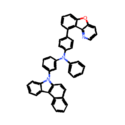 c1ccc(N(c2ccc(-c3cccc4oc5cccnc5c34)cc2)c2cccc(-n3c4ccccc4c4c5ccccc5ccc43)c2)cc1